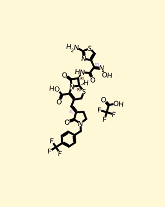 Nc1nc(/C(=N/O)C(=O)N[C@@H]2C(=O)N3C(C(=O)O)=C(/C=C4\CCN(Cc5ccc(C(F)(F)F)cc5)C4=O)CS[C@H]23)cs1.O=C(O)C(F)(F)F